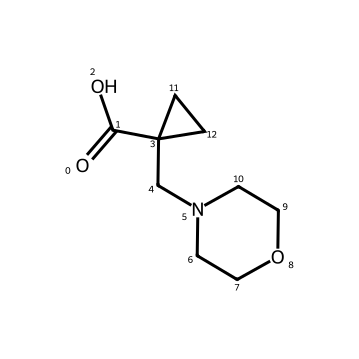 O=C(O)C1(CN2CCOCC2)CC1